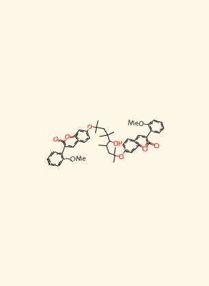 COc1ccccc1-c1cc2ccc(OC(C)(C)CC(C)C(O)C(C)(C)CC(C)(C)Oc3ccc4cc(-c5ccccc5OC)c(=O)oc4c3)cc2oc1=O